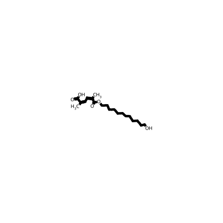 CC(=CC=C(C)C(=O)OCCCCCCCCCCCCO)C(=O)O